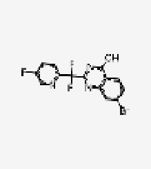 Oc1nc(C(F)(F)c2ccc(F)cn2)nc2cc(Br)ccc12